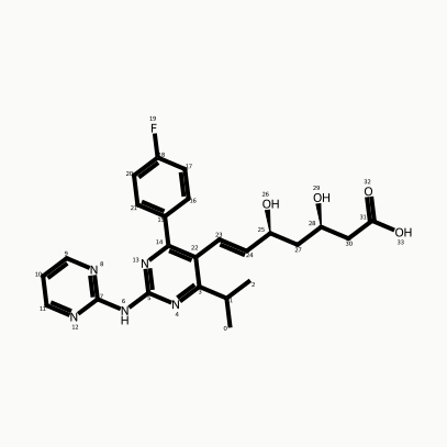 CC(C)c1nc(Nc2ncccn2)nc(-c2ccc(F)cc2)c1/C=C/[C@@H](O)C[C@@H](O)CC(=O)O